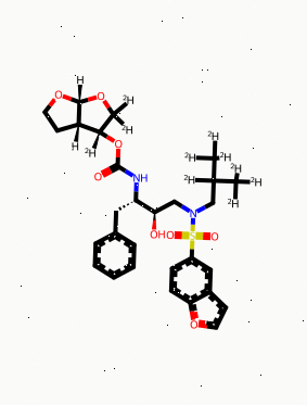 [2H]C([2H])([2H])C([2H])(CN(C[C@@H](O)[C@H](Cc1ccccc1)NC(=O)O[C@]1([2H])[C@@H]2CCO[C@@H]2OC1([2H])[2H])S(=O)(=O)c1ccc2occc2c1)C([2H])([2H])[2H]